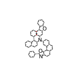 c1ccc(-c2nc3ccc4ccc5ccc(N(c6ccc7c(c6)oc6ccccc67)c6ccc7ccccc7c6-c6ccccc6)cc5c4c3o2)cc1